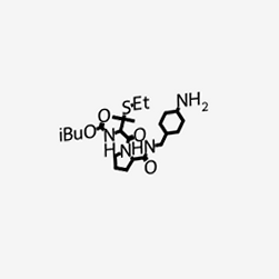 CCSC(C)(C)C(NC(=O)OCC(C)C)C(=O)N1CCCC1C(=O)NCC1CCC(N)CC1